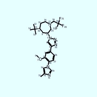 COc1cc(-c2cn([C@H]3C[C@@H](C(C)(C)C)CCN(CC(F)(F)F)C3)nn2)ccc1-n1cnc(C)c1